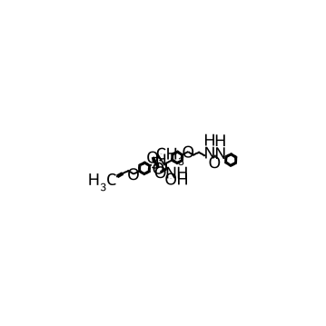 CC#CCOc1ccc(S(=O)(=O)N(C)C(C(=O)NO)c2ccc(OCCCNC(=O)Nc3ccccc3)cc2)cc1